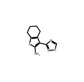 Nc1sc2c(c1-c1ncon1)CCCC2